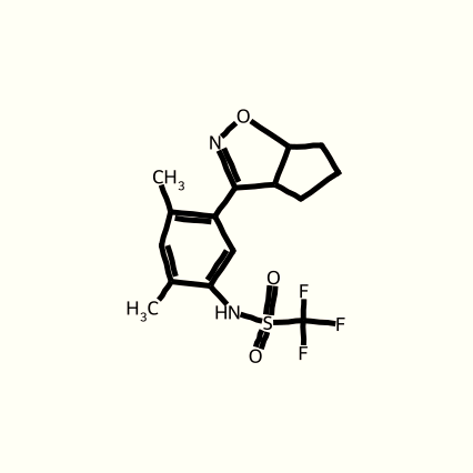 Cc1cc(C)c(C2=NOC3CCCC23)cc1NS(=O)(=O)C(F)(F)F